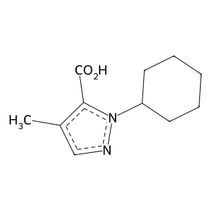 Cc1cnn(C2CCCCC2)c1C(=O)O